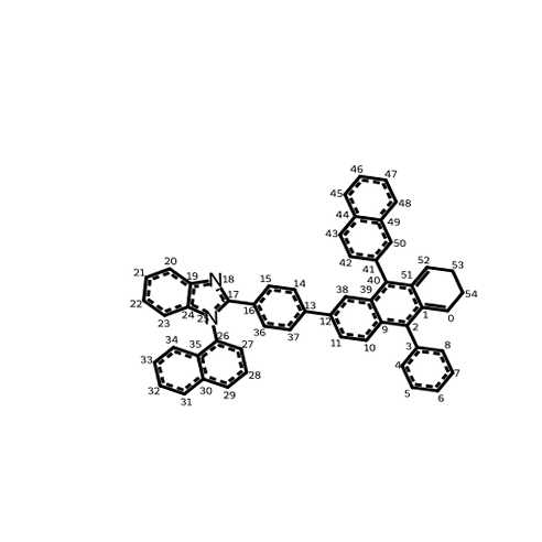 C1=c2c(-c3ccccc3)c3ccc(-c4ccc(-c5nc6ccccc6n5-c5cccc6ccccc56)cc4)cc3c(-c3ccc4ccccc4c3)c2=CCC1